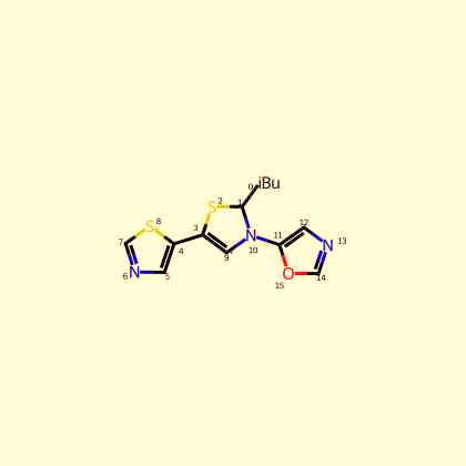 CCC(C)C1SC(c2cncs2)=[C]N1c1cnco1